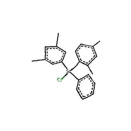 Cc1cc(C)cc([Si](Cl)(c2ccccc2)c2ccc(C)cc2C)c1